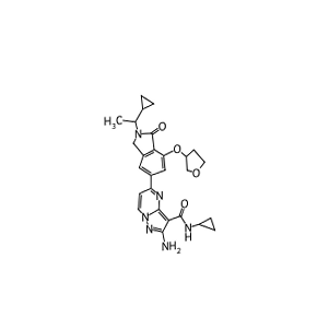 CC(C1CC1)N1Cc2cc(-c3ccn4nc(N)c(C(=O)NC5CC5)c4n3)cc(OC3CCOC3)c2C1=O